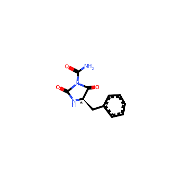 NC(=O)N1C(=O)N[C@H](Cc2ccccc2)C1=O